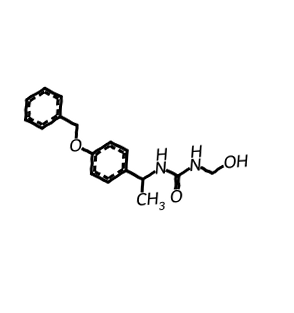 CC(NC(=O)NCO)c1ccc(OCc2ccccc2)cc1